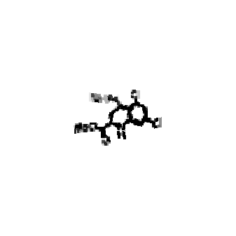 COC(=O)C1CC(NC(C)=O)c2c(Cl)cc(Cl)cc2N1